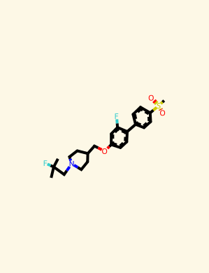 CC(C)(F)CN1CCC(COc2ccc(-c3ccc(S(C)(=O)=O)cc3)c(F)c2)CC1